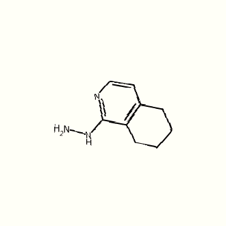 NNc1nccc2c1CCCC2